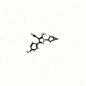 N#Cc1c(-c2ccc(Br)cc2)nn(C2CC3CC3C2)c1N